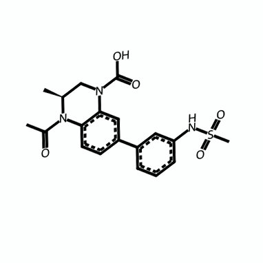 CC(=O)N1c2ccc(-c3cccc(NS(C)(=O)=O)c3)cc2N(C(=O)O)C[C@@H]1C